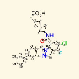 O=C(O)CC1CC2(C1)CC(NC(=O)c1cc(Cl)c(F)c3cnn(Cc4ccc(-c5ccccc5)cc4)c13)C2